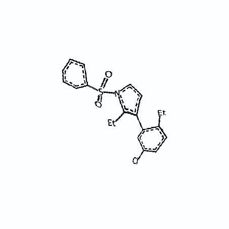 [CH2]Cc1c(-c2cc(Cl)ccc2CC)ccn1S(=O)(=O)c1ccccc1